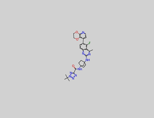 Cc1nc(NC23CCC(NC(=O)c4nnn(C(C)(C)C)n4)(CC2)C3)nc2ccc(-c3ccnc4c3OCCO4)c(F)c12